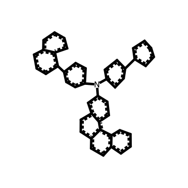 c1ccc(-c2ccc(N(c3ccc(-c4cccc5ccccc45)cc3)c3ccc4c(ccc5ccc6ccccc6c54)c3)cc2)cc1